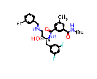 CCc1cccc(CNC[C@@H](O)[C@H](Cc2cc(F)cc(F)c2)NC(=O)c2cc(C)cc(C(=O)NC(C)CC)c2)c1